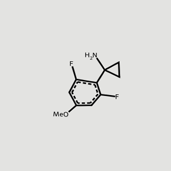 COc1cc(F)c(C2(N)CC2)c(F)c1